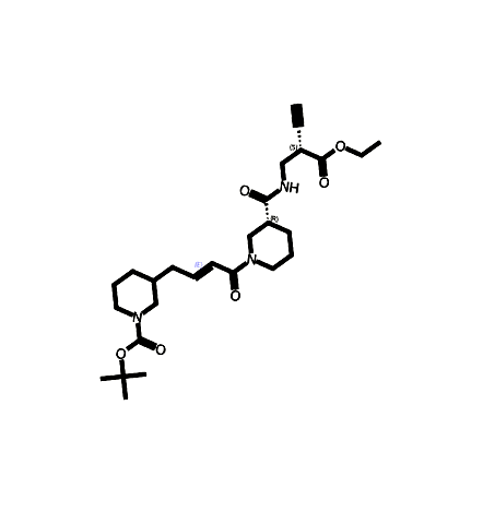 C#C[C@@H](CNC(=O)[C@@H]1CCCN(C(=O)/C=C/CC2CCCN(C(=O)OC(C)(C)C)C2)C1)C(=O)OCC